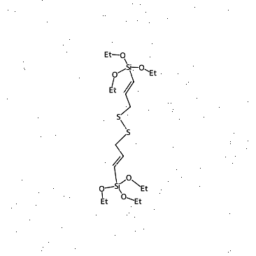 CCO[Si](C=CCSSCC=C[Si](OCC)(OCC)OCC)(OCC)OCC